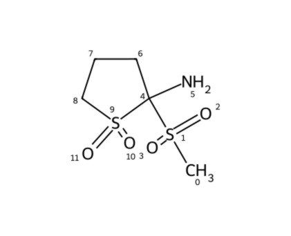 CS(=O)(=O)C1(N)CCCS1(=O)=O